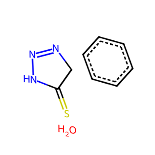 O.S=C1CN=NN1.c1ccccc1